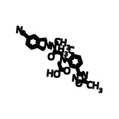 Cc1nc(-c2ccc(C)c(N(CC(=O)O)CC(=O)N(C)N3Cc4ccc(C#N)cc4C3)c2)no1